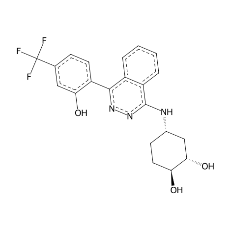 Oc1cc(C(F)(F)F)ccc1-c1nnc(N[C@H]2CC[C@H](O)[C@@H](O)C2)c2ccccc12